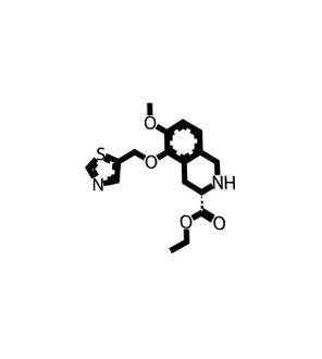 CCOC(=O)[C@@H]1Cc2c(ccc(OC)c2OCc2cncs2)CN1